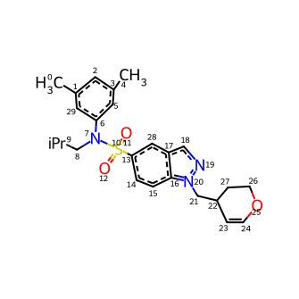 Cc1cc(C)cc(N(CC(C)C)S(=O)(=O)c2ccc3c(cnn3CC3C=COCC3)c2)c1